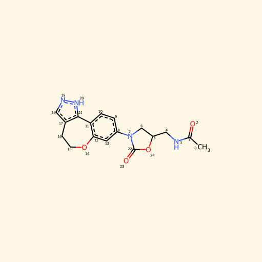 CC(=O)NCC1CN(c2ccc3c(c2)OCCc2cn[nH]c2-3)C(=O)O1